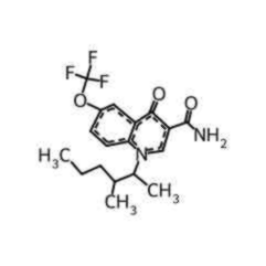 CCCC(C)C(C)n1cc(C(N)=O)c(=O)c2cc(OC(F)(F)F)ccc21